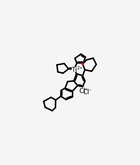 C1=CC[C]([Ti+2](=[C]2CCCC2)[c]2c(C3CCCCC3)ccc3c2Cc2cc(C4CCCCC4)ccc2-3)=C1.[Cl-].[Cl-]